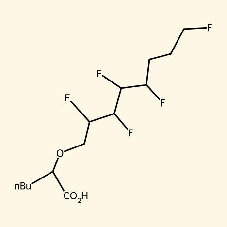 CCCCC(OCC(F)C(F)C(F)C(F)CCCF)C(=O)O